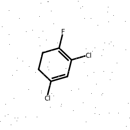 FC1=C(Cl)C=C(Cl)CC1